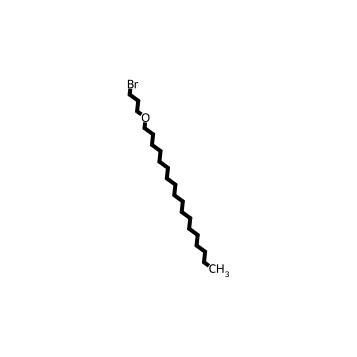 CCCCCCCCCCCCCCCCCCOCCCBr